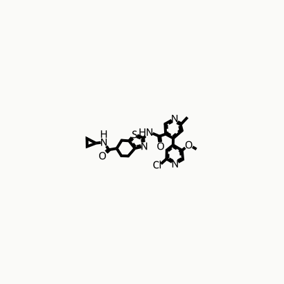 COc1cnc(Cl)cc1-c1cc(C)ncc1C(=O)Nc1nc2c(s1)CC(C(=O)NC1CC1)CC2